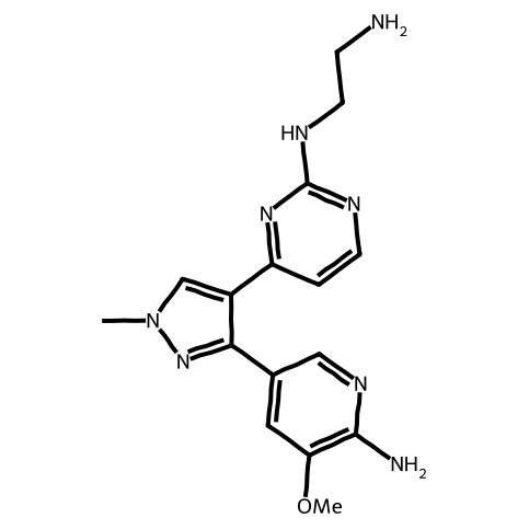 COc1cc(-c2nn(C)cc2-c2ccnc(NCCN)n2)cnc1N